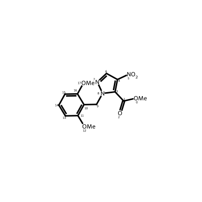 COC(=O)c1c([N+](=O)[O-])cnn1Cc1c(OC)cccc1OC